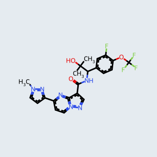 Cn1ccc(-c2ccn3ncc(C(=O)NC(c4ccc(OC(F)(F)F)c(F)c4)C(C)(C)O)c3n2)n1